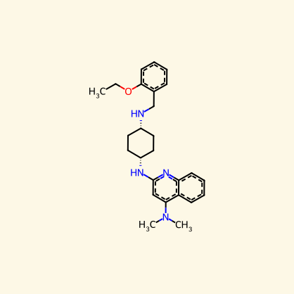 CCOc1ccccc1CN[C@H]1CC[C@@H](Nc2cc(N(C)C)c3ccccc3n2)CC1